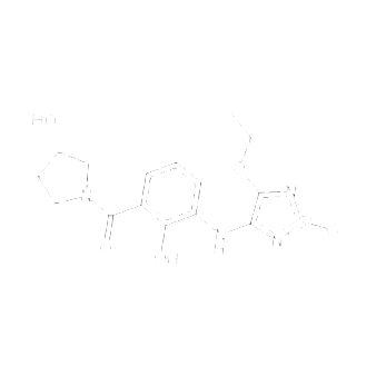 CCOc1n[s+]([O-])nc1Nc1cccc(C(=O)N2CC[C@H](O)C2)c1O